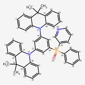 CC1(C)c2ccccc2N(c2cc(N3c4ccccc4C(C)(C)c4ccccc43)cc(P(=O)(c3ccccc3)c3cccnc3)c2)c2ccccc21